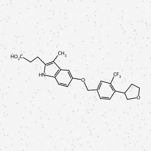 Cc1c(CCC(=O)O)[nH]c2ccc(OCc3ccc(C4CCOC4)c(C(F)(F)F)c3)cc12